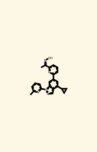 C/C(=N/O)c1cccc(-c2cc(C3CC3)c3cnn(-c4cccc(C)n4)c3c2)n1